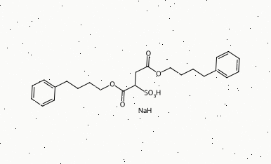 O=C(CC(C(=O)OCCCCc1ccccc1)S(=O)(=O)O)OCCCCc1ccccc1.[NaH]